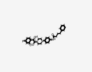 O=C(CCCc1ccccc1)Nc1ccc(N2CCN(C(=O)C(O)c3ccc(F)cc3Cl)CC2)cc1